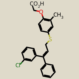 Cc1cc(SCC=C(c2ccccc2)c2cccc(Cl)c2)ccc1OCC(=O)O